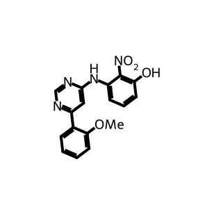 COc1ccccc1-c1cc(Nc2cccc(O)c2[N+](=O)[O-])ncn1